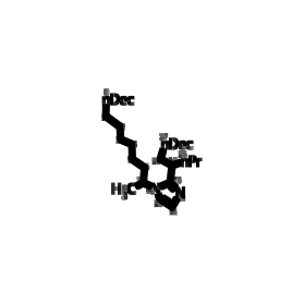 CCCCCCCCCCCCCCCCC(C)n1ccnc1C(CCC)CCCCCCCCCCC